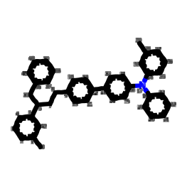 Cc1cccc(C(CCc2ccc(-c3ccc(N(c4ccccc4)c4cccc(C)c4)cc3)cc2)Cc2ccccc2)c1